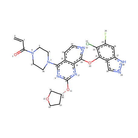 C=CC(=O)N1CCN(c2nc(O[C@@H]3CCOC3)nc3c(Oc4c(Cl)c(F)cc5[nH]ncc45)nccc23)CC1